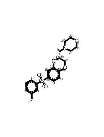 O=S(=O)(c1cccc(F)c1)c1ccc2c(c1)O[C@H](CN1CCOCC1)CO2